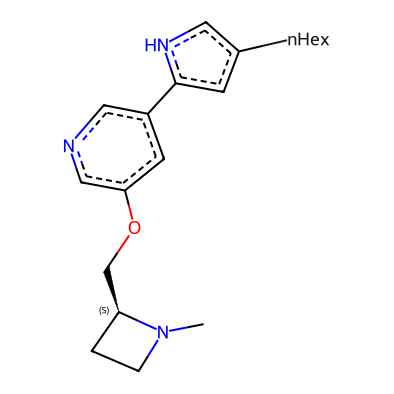 CCCCCCc1c[nH]c(-c2cncc(OC[C@@H]3CCN3C)c2)c1